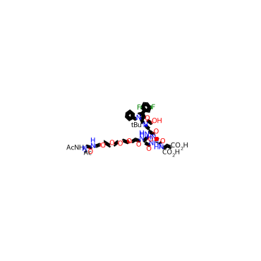 CC(=O)NN(CC(=O)NCCOCCOCCOCCOCCC(=O)N[C@@H](CC(N)=O)C(=O)N[C@@H](CCN(C(=O)CO)[C@@H](c1cc(-c2cc(F)ccc2F)cn1Cc1ccccc1)C(C)(C)C)C(=O)NCCC(=O)N[C@H](CCC(=O)O)C(=O)O)C(C)=O